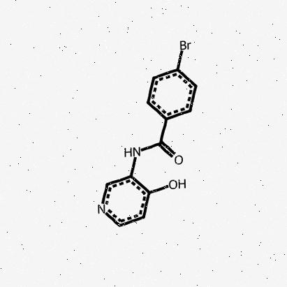 O=C(Nc1cnccc1O)c1ccc(Br)cc1